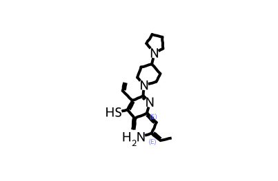 C=Cc1c(N2CCC(N3CCCC3)CC2)n/c(=C/C(N)=C\C)c(=C)c1S